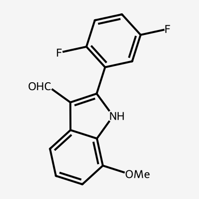 COc1cccc2c(C=O)c(-c3cc(F)ccc3F)[nH]c12